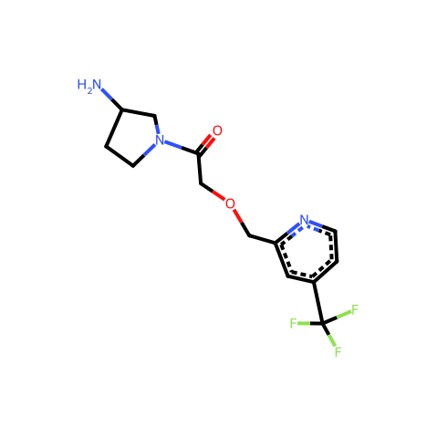 NC1CCN(C(=O)COCc2cc(C(F)(F)F)ccn2)C1